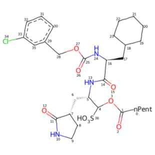 CCCCCC(=O)OC([C@H](C[C@@H]1CCNC1=O)NC(=O)[C@H](CC1CCCCC1)NC(=O)OCc1cccc(Cl)c1)S(=O)(=O)O